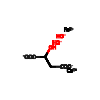 O=C([O-])CC(O)C(=O)[O-].[Ca+2].[Fe+2].[OH-].[OH-]